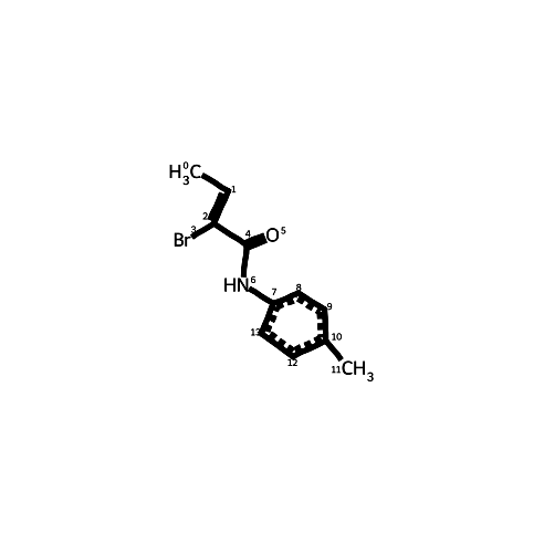 C/C=C(\Br)C(=O)Nc1ccc(C)cc1